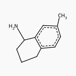 Cc1ccc2c(c1)C(N)CCC2